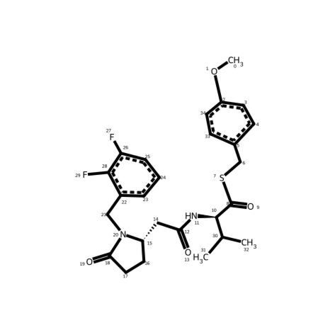 COc1ccc(CSC(=O)[C@H](NC(=O)C[C@@H]2CCC(=O)N2Cc2cccc(F)c2F)C(C)C)cc1